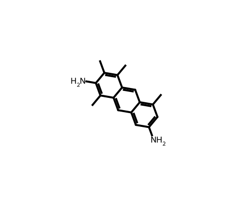 Cc1c(N)c(C)c2cc3cc(N)cc(C)c3cc2c1C